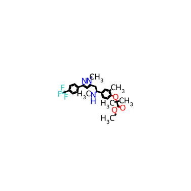 CCOC(=O)C(C)(C)Oc1ccc(C(Cc2cc(-c3ccc(C(F)(F)F)cc3)nn2C)NC)cc1C